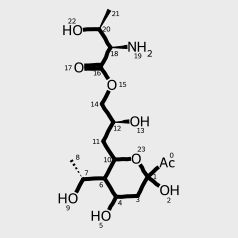 CC(=O)C1(O)CC(O)C([C@@H](C)O)C(C[C@H](O)COC(=O)[C@H](N)[C@H](C)O)O1